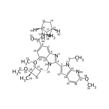 CCn1c(-c2nc3cc(C(=O)N4C[C@H]5CC[C@@H]4[C@@H]5N)cc(OC)c3n2C[C@H]2C[C@@](C)(OC)C2)cc2ccc(OC)nc21